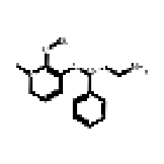 CCOC1=C(O[C@H](CCN)c2ccccc2)C=CCN1C